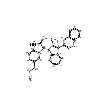 CC1=C(c2cnc3ccccc3c2)c2ccccc2C1C1C(=O)Nc2ccc(CCCl)cc21